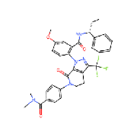 CC[C@@H](NC(=O)c1cc(OC)ccc1-n1nc(C(F)(F)F)c2c1C(=O)N(c1ccc(C(=O)N(C)C)cc1)CC2)c1ccccc1